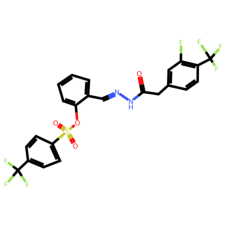 O=C(Cc1ccc(C(F)(F)F)c(F)c1)NN=Cc1ccccc1OS(=O)(=O)c1ccc(C(F)(F)F)cc1